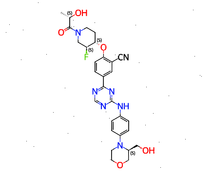 C[C@H](O)C(=O)N1CC[C@H](Oc2ccc(-c3ncnc(Nc4ccc(N5CCOC[C@@H]5CO)cc4)n3)cc2C#N)[C@@H](F)C1